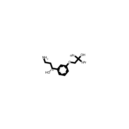 CCCC(O)(CCC)COc1cccc([C@H](O)CCN)c1